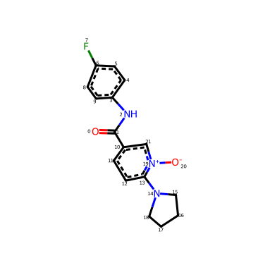 O=C(Nc1ccc(F)cc1)c1ccc(N2CCCC2)[n+]([O-])c1